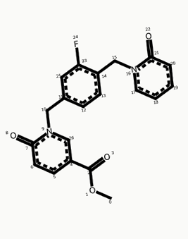 COC(=O)c1ccc(=O)n(Cc2ccc(Cn3ccccc3=O)c(F)c2)c1